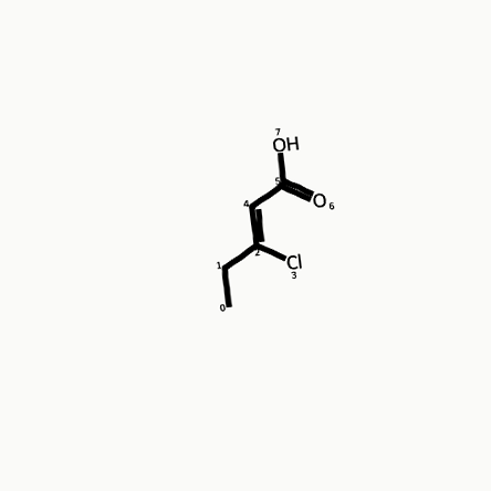 CCC(Cl)=CC(=O)O